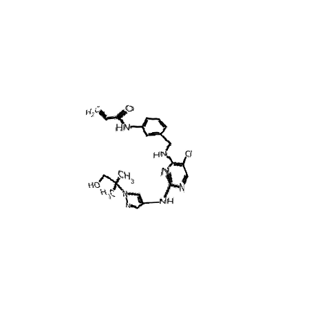 C=CC(=O)Nc1cccc(CNc2nc(Nc3cnn(C(C)(C)CO)c3)ncc2Cl)c1